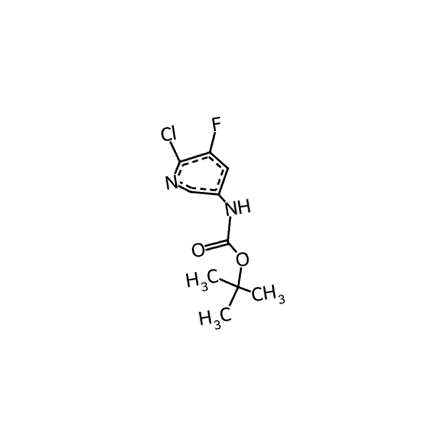 CC(C)(C)OC(=O)Nc1cnc(Cl)c(F)c1